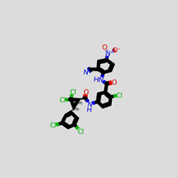 N#Cc1cc([N+](=O)[O-])ccc1NC(=O)c1cc(NC(=O)[C@H]2[C@H](c3cc(Cl)cc(Cl)c3)C2(Cl)Cl)ccc1Cl